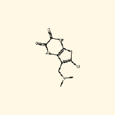 CN(C)Cc1c(Cl)sc2[nH]c(=O)c(=O)[nH]c12